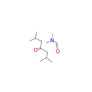 CC(C)CC(=O)CC(C)C.CN(C)C=O